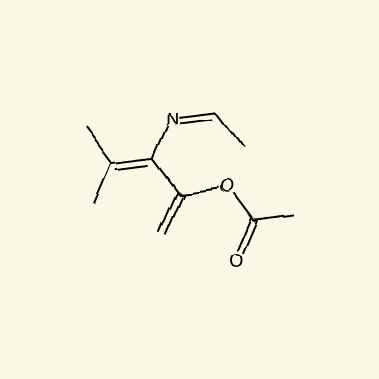 C=C(OC(C)=O)C(/N=C\C)=C(C)C